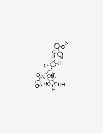 O=C(C1CCOOC1)N(CCCCc1cc(Cl)c(COC2(c3cnccc3-c3ccccc3OC3CC3)CC2)cc1Cl)C[C@H](O)[C@@H](O)[C@H](O)[C@H](O)CO